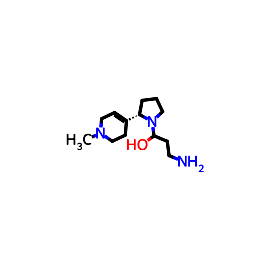 CN1CC=C([C@@H]2CCCN2C(O)CCN)CC1